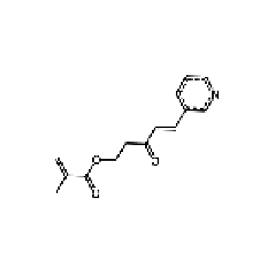 C=C(C)C(=O)OCCC(=O)/C=C/c1cccnc1